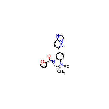 CC(=O)N1c2ccc(-c3ccc4nccn4n3)cc2N(C(=O)c2ccco2)C[C@@H]1C